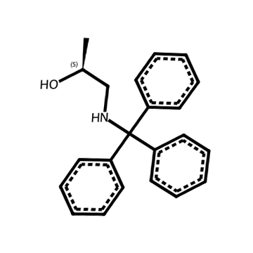 C[C@H](O)CNC(c1ccccc1)(c1ccccc1)c1ccccc1